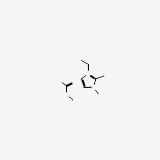 CC[n+]1ccn(C)c1C.COC(=O)[O-]